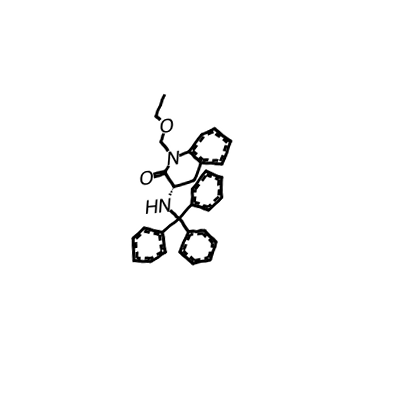 CCOCN1C(=O)[C@@H](NC(c2ccccc2)(c2ccccc2)c2ccccc2)Cc2ccccc21